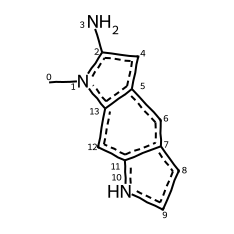 Cn1c(N)cc2cc3cc[nH]c3cc21